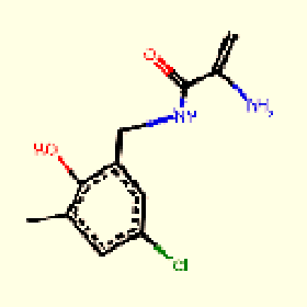 C=C(N)C(=O)NCc1cc(Cl)cc(C)c1O